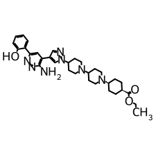 CCOC(=O)[C@H]1CC[C@@H](N2CCC(N3CCC(n4cc(-c5cc(-c6ccccc6O)nnc5N)cn4)CC3)CC2)CC1